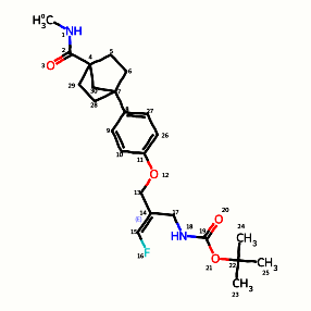 CNC(=O)C12CCC(c3ccc(OC/C(=C/F)CNC(=O)OC(C)(C)C)cc3)(CC1)C2